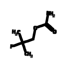 CC(C)(F)COC(N)=O